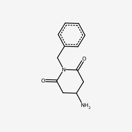 NC1CC(=O)N(Cc2ccccc2)C(=O)C1